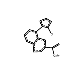 C=C(OC)c1ccc2cccc(-c3sccc3Cl)c2c1